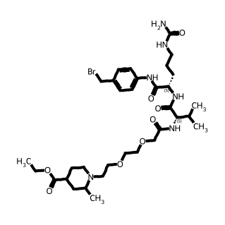 CCOC(=O)C1CCN(CCOCCOCC(=O)N[C@H](C(=O)N[C@@H](CCCNC(N)=O)C(=O)Nc2ccc(CBr)cc2)C(C)C)C(C)C1